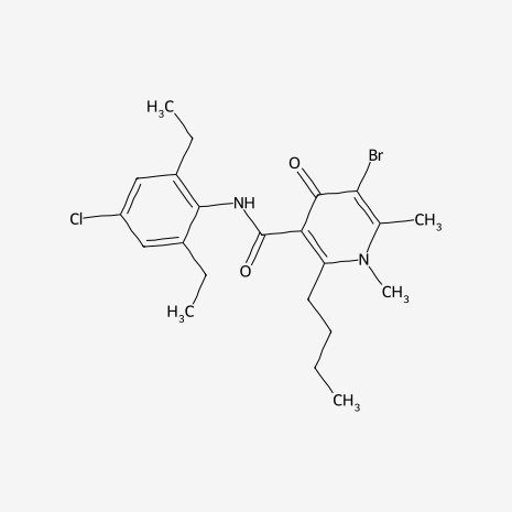 CCCCc1c(C(=O)Nc2c(CC)cc(Cl)cc2CC)c(=O)c(Br)c(C)n1C